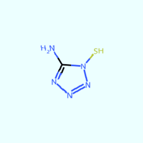 Nc1nnnn1S